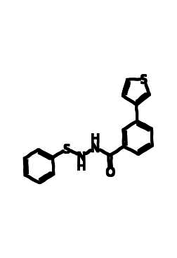 O=C(NNSc1ccccc1)c1cccc(-c2ccsc2)c1